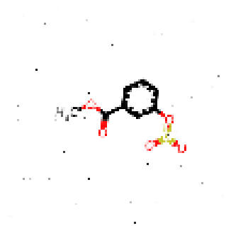 COC(=O)c1cccc(O[SH](=O)=O)c1